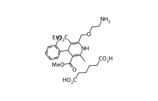 CCOC(=O)C1=C(COCCN)NC(C)=C(C(=O)OC)C1c1ccccc1Cl.O=C(O)CCCCC(=O)O